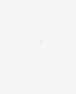 CC(C)C1=C(C(C)(C)C)CC(=O)N1I